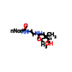 CCCCCCCCCC(=O)NCCNC(=O)CC(C)(C)CO